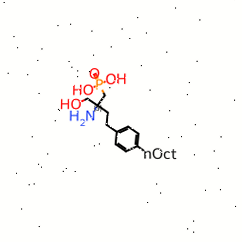 CCCCCCCCc1ccc(CC[C@](N)(CO)CP(=O)(O)O)cc1